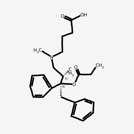 CCC(=O)O[C@@](Cc1ccccc1)(c1ccccc1)[C@@H](C)CN(C)CCCC(=O)O